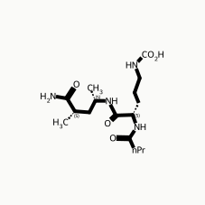 CCCC(=O)N[C@@H](CCCNC(=O)O)C(=O)N[C@@H](C)C[C@H](C)C(N)=O